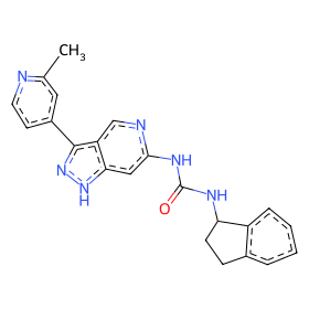 Cc1cc(-c2n[nH]c3cc(NC(=O)NC4CCc5ccccc54)ncc23)ccn1